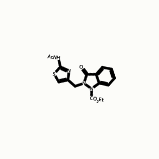 CCOC(=O)n1c2ccccc2c(=O)n1Cc1csc(NC(C)=O)n1